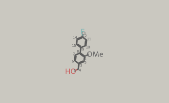 COc1cc(CO)ccc1-c1ccc(F)cc1